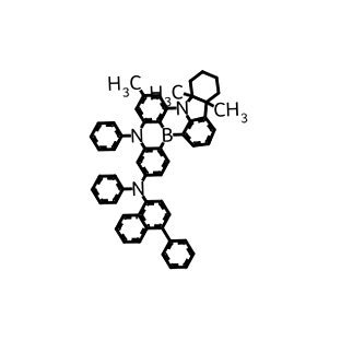 Cc1cc2c3c(c1)N1c4c(cccc4C4(C)CCCCC14C)B3c1ccc(N(c3ccccc3)c3ccc(-c4ccccc4)c4ccccc34)cc1N2c1ccccc1